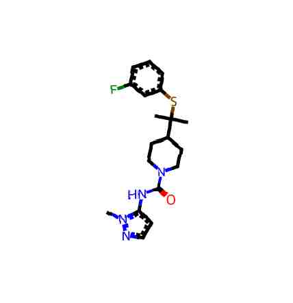 Cn1nccc1NC(=O)N1CCC(C(C)(C)Sc2cccc(F)c2)CC1